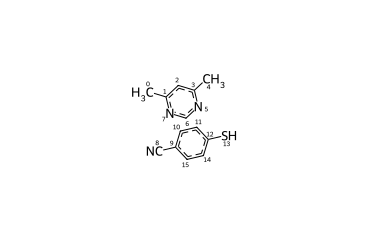 Cc1cc(C)ncn1.N#Cc1ccc(S)cc1